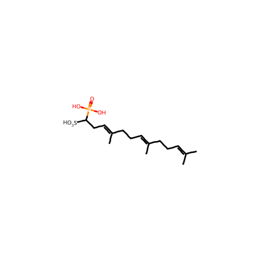 CC(C)=CCC/C(C)=C/CC/C(C)=C/CC(P(=O)(O)O)S(=O)(=O)O